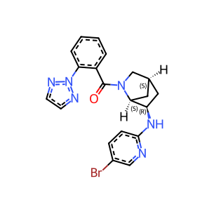 O=C(c1ccccc1-n1nccn1)N1C[C@H]2C[C@@H](Nc3ccc(Br)cn3)[C@@H]1C2